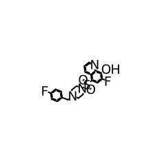 O=S(=O)(c1cc(F)c(O)c2ncccc12)N1CCN(Cc2ccc(F)cc2)CC1